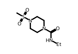 [CH2]CNC(=O)N1CCN(S(C)(=O)=O)CC1